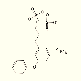 O=P([O-])([O-])[C@@H](CCCc1cccc(Oc2ccccc2)c1)S(=O)(=O)[O-].[K+].[K+].[K+]